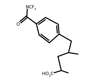 CC(Cc1ccc(C(=O)NC(F)(F)F)cc1)CC(C)C(=O)O